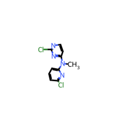 CN(c1cccc(Cl)n1)c1ccnc(Cl)n1